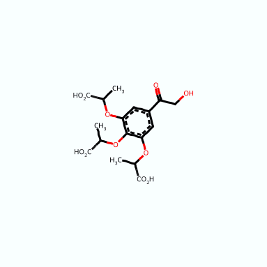 CC(Oc1cc(C(=O)CO)cc(OC(C)C(=O)O)c1OC(C)C(=O)O)C(=O)O